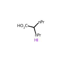 CCCC(CCC)C(=O)O.I